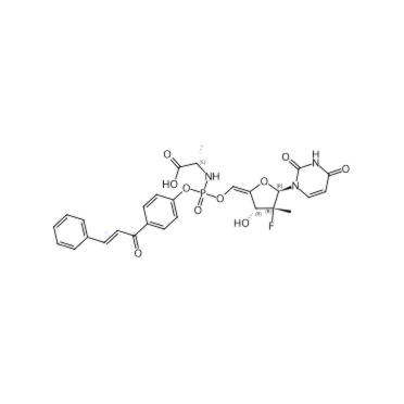 C[C@H](NP(=O)(O/C=C1/O[C@@H](n2ccc(=O)[nH]c2=O)[C@](C)(F)[C@@H]1O)Oc1ccc(C(=O)/C=C/c2ccccc2)cc1)C(=O)O